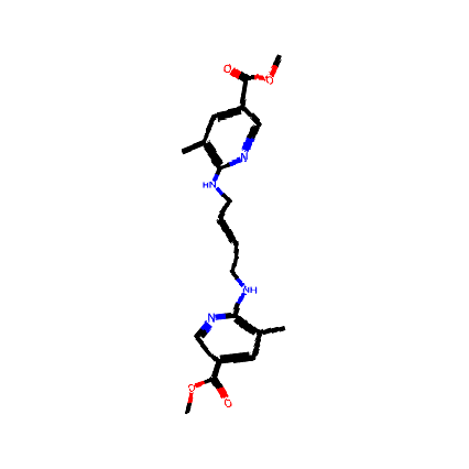 COC(=O)c1cnc(NC/C=C/CNc2ncc(C(=O)OC)cc2C)c(C)c1